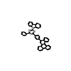 c1ccc(-c2nc(-c3ccc(-c4cc5c6ccccc6c6ccccc6c5c5ccccc45)cc3)nc(-n3c4ccccc4c4ccccc43)n2)cc1